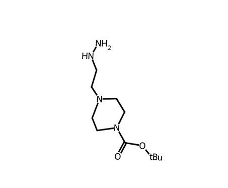 CC(C)(C)OC(=O)N1CCN(CCNN)CC1